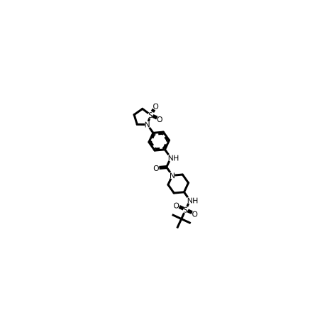 CC(C)(C)S(=O)(=O)NC1CCN(C(=O)Nc2ccc(N3CCCS3(=O)=O)cc2)CC1